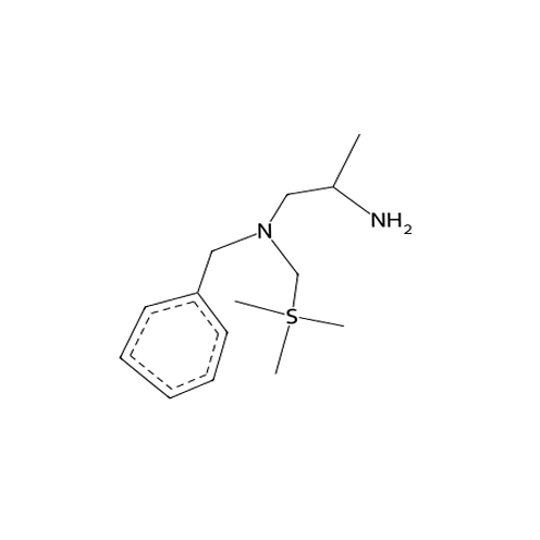 CC(N)CN(Cc1ccccc1)CS(C)(C)C